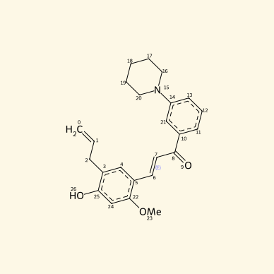 C=CCc1cc(/C=C/C(=O)c2cccc(N3CCCCC3)c2)c(OC)cc1O